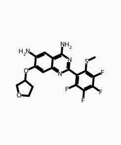 CSc1c(F)c(F)c(F)c(F)c1-c1nc(N)c2cc(N)c(OC3CCOC3)cc2n1